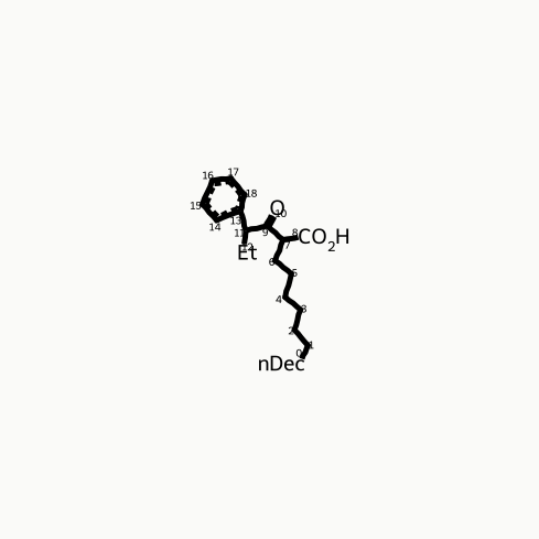 CCCCCCCCCCCCCCCCC(C(=O)O)C(=O)C(CC)c1ccccc1